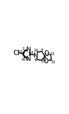 Clc1cnc(N2CCC3(CC2)OCCO3)nc1